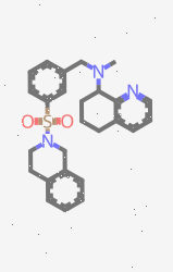 CN(Cc1cccc(S(=O)(=O)N2CCc3ccccc3C2)c1)C1CCCc2cccnc21